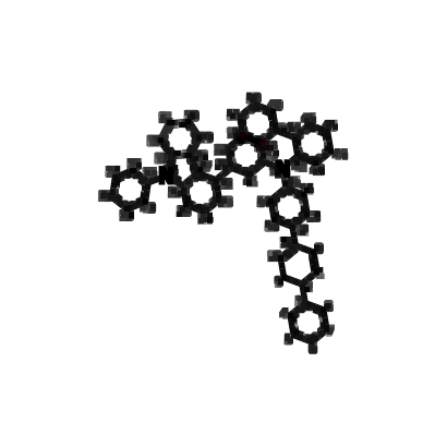 C1=CC(c2ccccc2)CC=C1c1ccc(N(c2cccc(-c3cccc4c3c3ccccc3n4-c3ccccc3)c2)c2ccccc2-c2ccccc2)cc1